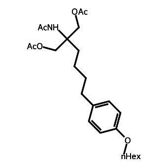 CCCCCCOc1ccc(CCCCC(COC(C)=O)(COC(C)=O)NC(C)=O)cc1